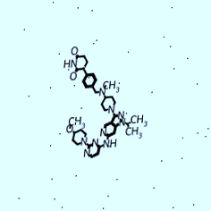 COC1CCN(c2nccc(Nc3cc4c(cn3)c(N3CCC(N(C)Cc5ccc(C6CCC(=O)NC6=O)cc5)CC3)nn4C(C)C)n2)CC1